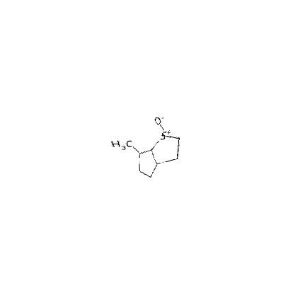 CC1CCC2CC[S+]([O-])C12